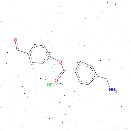 Cl.NCc1ccc(C(=O)Oc2ccc(C=O)cc2)cc1